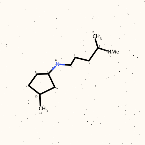 CNC(C)CCC[N]C1CCC(C)C1